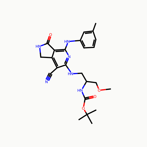 COCC(CNc1nc(Nc2cccc(C)c2)c2c(c1C#N)CNC2=O)NC(=O)OC(C)(C)C